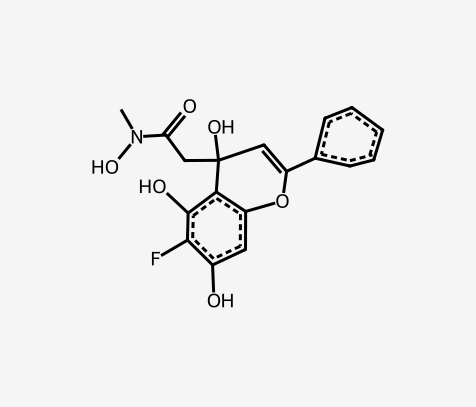 CN(O)C(=O)CC1(O)C=C(c2ccccc2)Oc2cc(O)c(F)c(O)c21